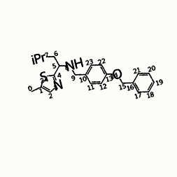 Cc1cnc(C(CC(C)C)NCc2ccc(OCc3ccccc3)cc2)s1